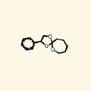 c1ccc(C2COC3(CCCCCO3)O2)cc1